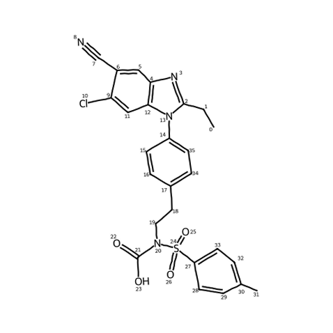 CCc1nc2cc(C#N)c(Cl)cc2n1-c1ccc(CCN(C(=O)O)S(=O)(=O)c2ccc(C)cc2)cc1